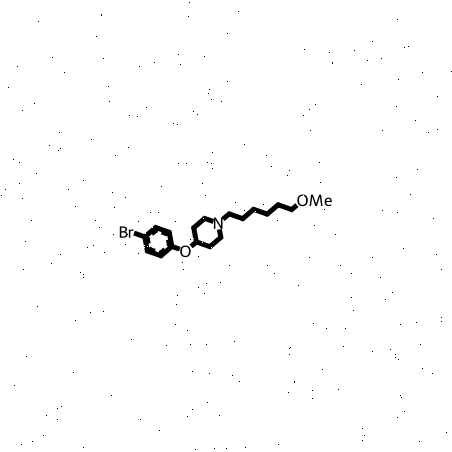 COCCCCCCN1CCC(Oc2ccc(Br)cc2)CC1